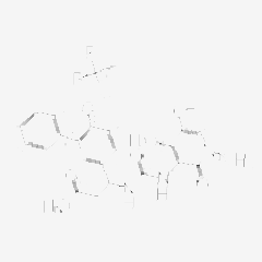 Cc1cn(C)c(=O)c(NC(=O)NC(CC(=O)O)c2ccc(OCC(F)(F)F)c(-c3ccccc3)c2)c1O